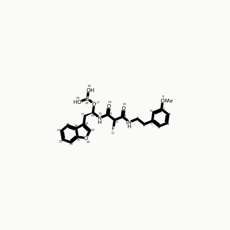 COc1cccc(CCNC(=O)C(F)C(=O)N[C@@H](Cc2coc3ccccc23)OB(O)O)c1